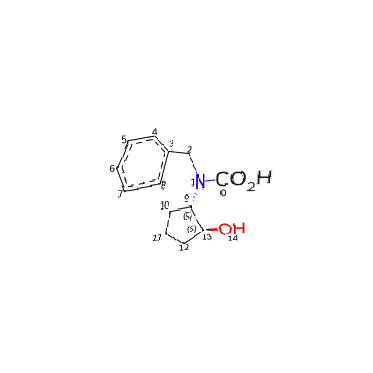 O=C(O)N(Cc1ccccc1)[C@H]1CCC[C@@H]1O